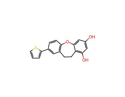 Oc1cc(O)c2c(c1)Oc1ccc(-c3cccs3)cc1CC2